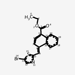 CCOC(=O)C1=C=CC(=Cc2ncc(Br)s2)c2ccccc21